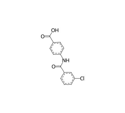 O=C(O)c1ccc(NC(=O)c2cccc(Cl)c2)cc1